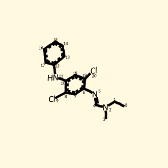 CCN(C)C=Nc1cc(Cl)c(Nc2ccccc2)cc1Cl